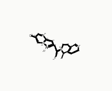 CC1c2ccncc2CCN1C(=O)c1cc2ncc(Cl)cn2n1